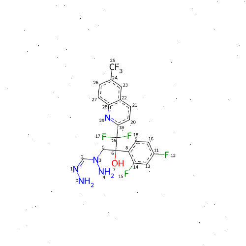 N/N=C\N(N)CC(O)(c1ccc(F)cc1F)C(F)(F)c1ccc2cc(C(F)(F)F)ccc2n1